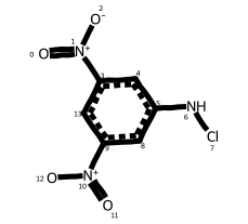 O=[N+]([O-])c1cc(NCl)cc([N+](=O)[O-])c1